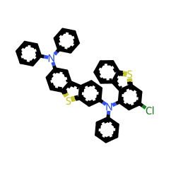 Clc1cc(N(c2ccccc2)c2ccc3c(c2)sc2ccc(N(c4ccccc4)c4ccccc4)cc23)c2c(c1)sc1ccccc12